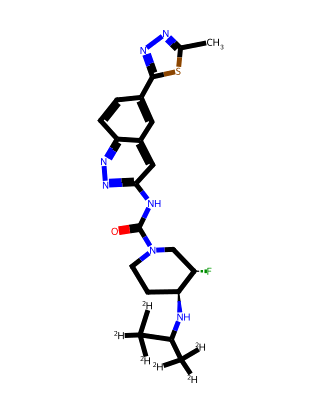 [2H]C([2H])([2H])C(N[C@H]1CCN(C(=O)Nc2cc3cc(-c4nnc(C)s4)ccc3nn2)C[C@@H]1F)C([2H])([2H])[2H]